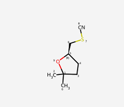 CC1(C)CC[C@H](CSC#N)O1